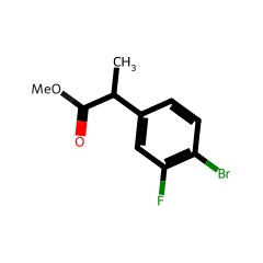 COC(=O)C(C)c1ccc(Br)c(F)c1